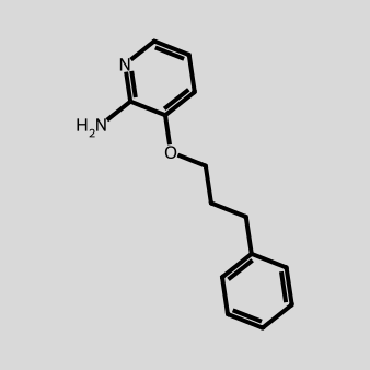 Nc1ncccc1OCCCc1ccccc1